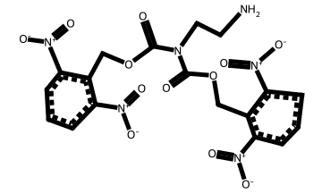 NCCN(C(=O)OCc1c([N+](=O)[O-])cccc1[N+](=O)[O-])C(=O)OCc1c([N+](=O)[O-])cccc1[N+](=O)[O-]